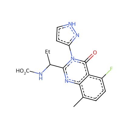 CCC(NC(=O)O)c1nc2c(C)ccc(F)c2c(=O)n1-c1cc[nH]n1